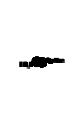 CCCCCCCCCCCc1ccc2cc(S(=O)(=O)O)ccc2c1